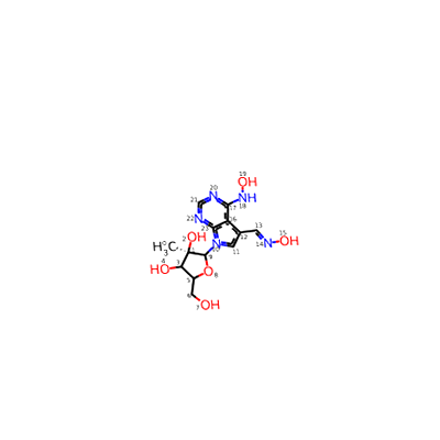 C[C@@]1(O)C(O)C(CO)OC1n1cc(/C=N/O)c2c(NO)ncnc21